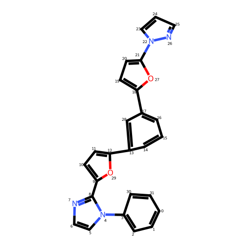 c1ccc(-n2ccnc2-c2ccc(-c3cccc(-c4ccc(-n5cccn5)o4)c3)o2)cc1